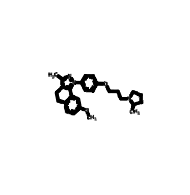 COc1ccc2c(c1)-c1c(c(C)nn1-c1ccc(OCCCN3CCCC3C)cc1)CC2